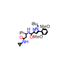 CCC(C)Cn1nc(C(=O)NC(CC(=O)NC2CC2)C(C)C)cc1-c1c(OC)cccc1OC